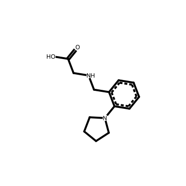 O=C(O)CNCc1ccccc1N1CCCC1